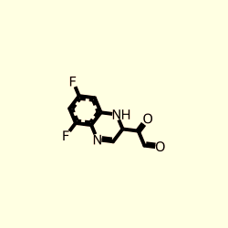 O=CC(=O)C1C=Nc2c(F)cc(F)cc2N1